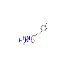 Cc1ccc(CCCCC(=O)NN)cc1